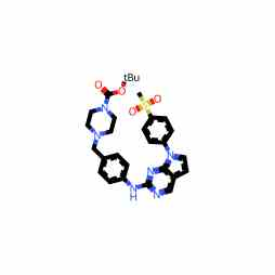 CC(C)(C)OC(=O)N1CCN(Cc2ccc(Nc3ncc4ccn(-c5ccc(S(C)(=O)=O)cc5)c4n3)cc2)CC1